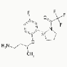 CC(CCN)Oc1ccc(F)cc1[C@H]1CCCN1C(=O)C(F)(F)F